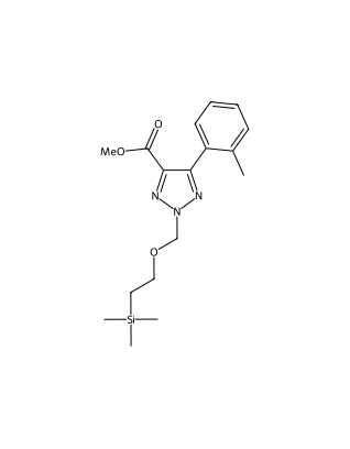 COC(=O)c1nn(COCC[Si](C)(C)C)nc1-c1ccccc1C